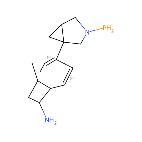 C/C=C(\C=C/C1C(C)CC1N)C12CC1CN(P)C2